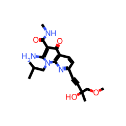 CNC(=O)c1c(N)n(CC(C)C)c2nc(C#CC(C)(O)COC)ccc2c1=O